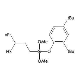 CCCC(S)CC[Si](OC)(OC)Oc1ccc(C(C)(C)C)cc1C(C)(C)C